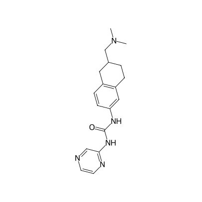 CN(C)CC1CCc2cc(NC(=O)Nc3cnccn3)ccc2C1